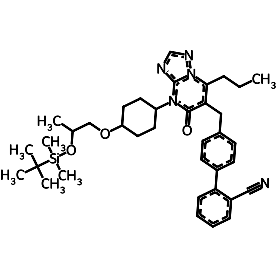 CCCc1c(Cc2ccc(-c3ccccc3C#N)cc2)c(=O)n(C2CCC(OCC(C)O[Si](C)(C)C(C)(C)C)CC2)c2ncnn12